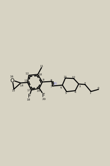 CCCC1CCC(/C=C/c2c(C)cc(C3CO3)c(F)c2F)CC1